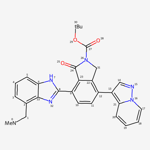 CNCc1cccc2[nH]c(-c3ccc(-c4cnn5ccccc45)c4c3C(=O)N(C(=O)OC(C)(C)C)C4)nc12